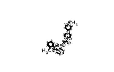 Cc1ccccc1S(=O)(=O)N1CCOC[C@H]1COCC(=O)N1CCN(C2CCN(C)CC2)CC1